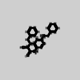 O=c1[nH]c2cnc(NCc3ccccc3)nc2n(Cc2ccccc2)c1=O